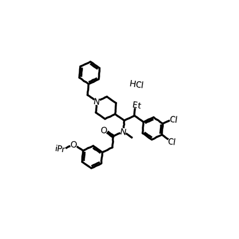 CCC(c1ccc(Cl)c(Cl)c1)C(C1CCN(Cc2ccccc2)CC1)N(C)C(=O)Cc1cccc(OC(C)C)c1.Cl